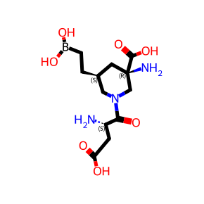 N[C@@H](CC(=O)O)C(=O)N1C[C@@H](CCB(O)O)C[C@](N)(C(=O)O)C1